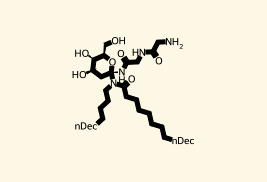 CCCCCCCCCCCCCCCCCC(=O)N(CCCCCCCCCCCCCC)[C@@]1(NC(=O)CNC(=O)CN)C[C@@H](O)[C@H](O)[C@@H](CO)O1